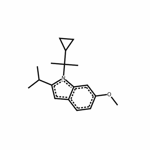 COc1ccc2cc(C(C)C)n(C(C)(C)C3CC3)c2c1